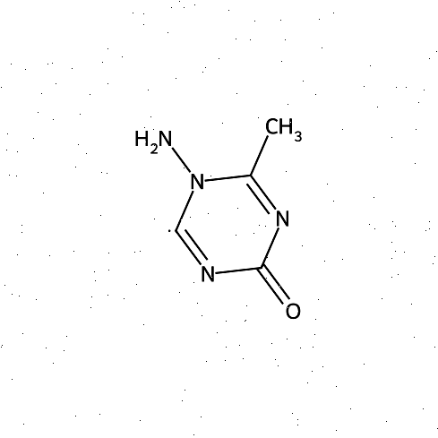 Cc1nc(=O)n[c]n1N